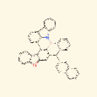 c1ccc2c(c1)B1c3c(cc4oc5ccccc5c4c3-c3cccc4c5ccccc5n1c34)C2c1ccc2ccccc2c1